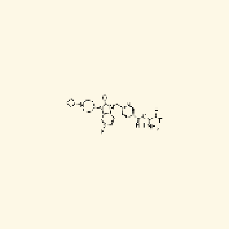 N=C(OC(N)C(F)F)c1ccc(Cn2c(=O)n(C3CCN(C4CCC4)CC3)c3cc(F)ccc32)nc1